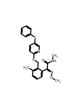 CNC(=O)/C(=N/OC)c1cccc(C)c1COc1ccc(Sc2ccccc2)cn1